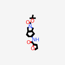 CC(C)(C)OC(=O)N1Cc2ccc(NC(=O)c3ccco3)cc2C1